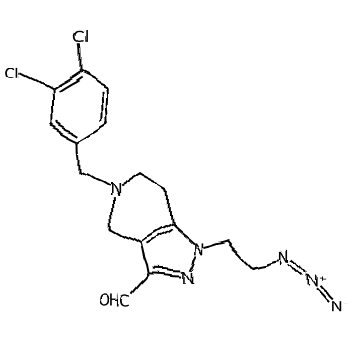 [N-]=[N+]=NCCn1nc(C=O)c2c1CCN(Cc1ccc(Cl)c(Cl)c1)C2